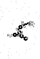 Cc1ccc(CNC2(N3CCN(C(=O)c4ccc(NC(=O)/C=C/CN(C)C)cc4)CC3)C=CC(c3cccnc3)=CN2)cc1